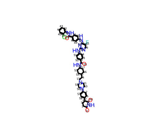 O=C1CCC(c2ccc(N3CCN(CCC4CCC(NC(=O)c5ccc(Nc6ncc(F)c(Nc7ccc(C(=O)Nc8ccccc8Cl)cc7)n6)cc5)CC4)CC3)cc2)C(=O)N1